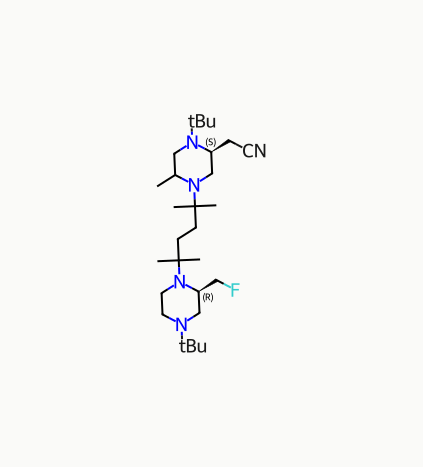 CC1CN(C(C)(C)C)[C@@H](CC#N)CN1C(C)(C)CCC(C)(C)N1CCN(C(C)(C)C)C[C@@H]1CF